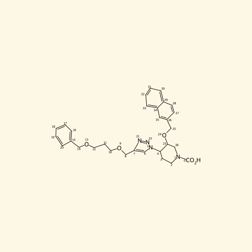 O=C(O)N1CCC(n2cc(COCCCOCc3ccccc3)nn2)C(OCc2ccc3ccccc3c2)C1